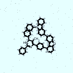 CC1=C(c2ccc(-c3nccc4oc5ccc(-c6ccc7c(c6)c6ccccc6n7-c6ccccc6)cc5c34)cc2)N=C(c2ccccc2)NC1c1ccccc1